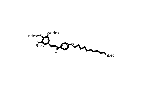 CCCCCCCCCCCCCCCCCCCCOc1ccc(C(=O)C=Cc2cc(SCCCCCC)c(SCCCCCC)c(SCCCCCC)c2)cc1